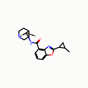 CC1CC1c1nc2c(C(=O)N[C@@H]3CN4CCC3CC4)cccc2o1